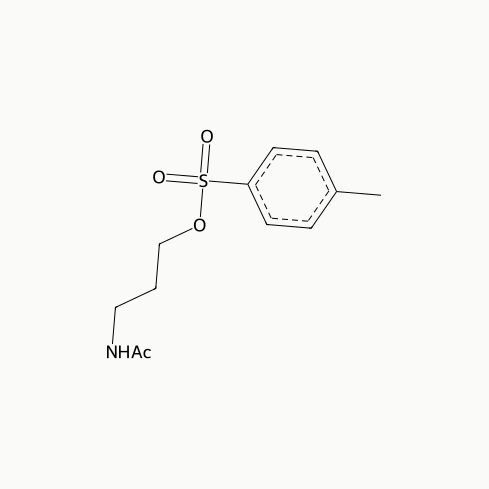 CC(=O)NCCCOS(=O)(=O)c1ccc(C)cc1